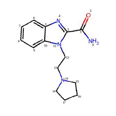 NC(=O)c1nc2c[c]ccc2n1CCN1CCCC1